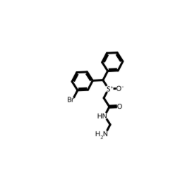 NCNC(=O)C[S+]([O-])C(c1ccccc1)c1cccc(Br)c1